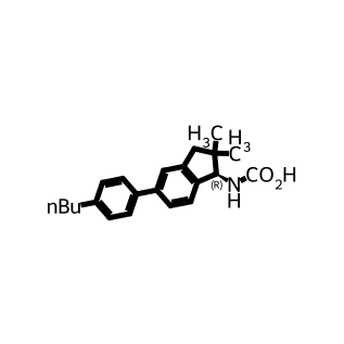 CCCCc1ccc(-c2ccc3c(c2)CC(C)(C)[C@H]3NC(=O)O)cc1